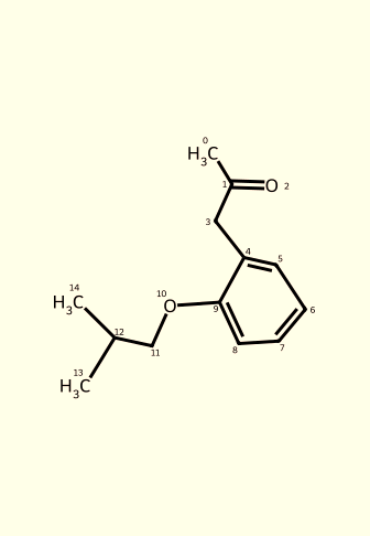 CC(=O)Cc1ccccc1OCC(C)C